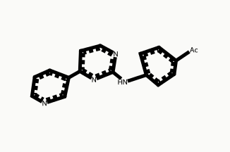 CC(=O)c1ccc(Nc2nccc(-c3cccnc3)n2)cc1